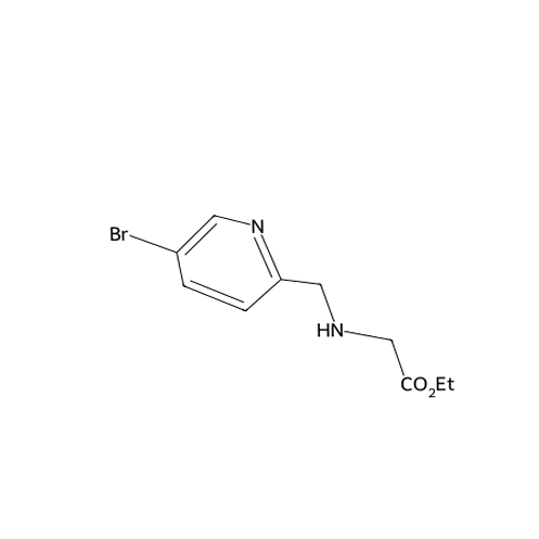 CCOC(=O)CNCc1ccc(Br)cn1